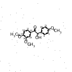 COc1ccc(C(O)C(=O)c2ccc(OC)c(OC)c2)cc1